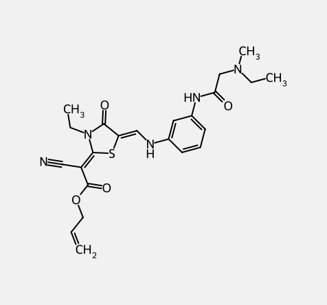 C=CCOC(=O)C(C#N)=c1sc(=CNc2cccc(NC(=O)CN(C)CC)c2)c(=O)n1CC